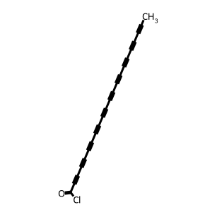 CC#CC#CC#CC#CC#CC#CC#CC#CC#CC#CC(=O)Cl